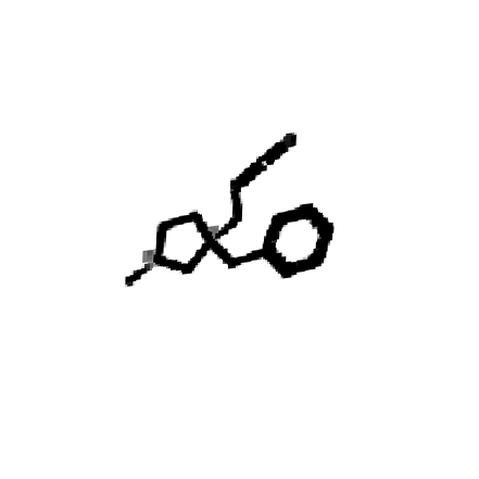 C[C@@H]1CC[C@@](CN=C=O)(Cc2ccccc2)C1